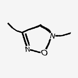 CC1=NON(C)C1